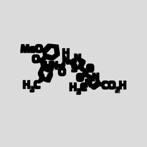 COc1ccccc1C(=O)c1cc(C)ccc1NC(=O)Nc1ncc(S(=O)(=O)c2nc(C(=O)O)cn2C)s1